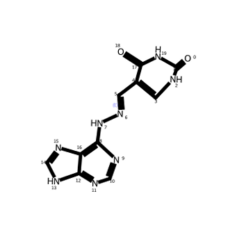 O=c1[nH]cc(/C=N/Nc2ncnc3[nH]cnc23)c(=O)[nH]1